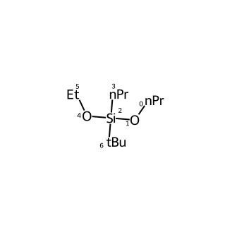 CCCO[Si](CCC)(OCC)C(C)(C)C